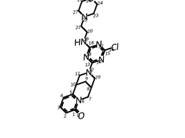 O=c1cccc2n1CC1CC2CN(c2nc(Cl)nc(NCCN3CCOCC3)n2)C1